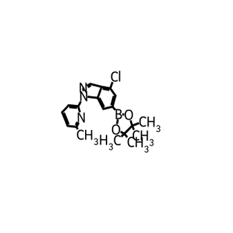 Cc1cccc(-n2ncc3c(Cl)cc(B4OC(C)(C)C(C)(C)O4)cc32)n1